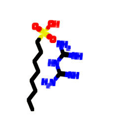 CCCCCCCCS(=O)(=O)O.N=C(N)NC(=N)N